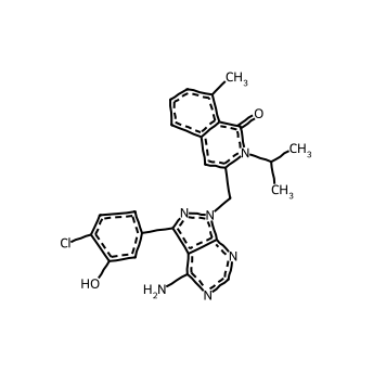 Cc1cccc2cc(Cn3nc(-c4ccc(Cl)c(O)c4)c4c(N)ncnc43)n(C(C)C)c(=O)c12